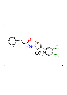 O=C(CCc1ccccc1)Nc1scc(-c2ccc(Cl)c(Cl)c2)c1C(=O)O